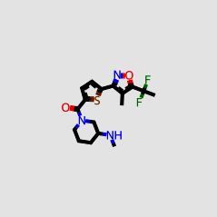 CNC1CCCN(C(=O)c2ccc(-c3noc(C(C)(F)F)c3C)s2)C1